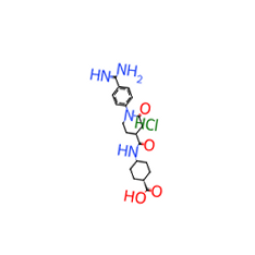 Cl.N=C(N)c1ccc(N2CCC(C(=O)N[C@H]3CC[C@H](C(=O)O)CC3)CC2=O)cc1